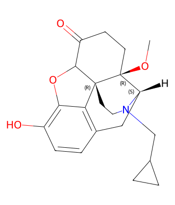 CO[C@]12CCC(=O)C3Oc4c(O)ccc5c4[C@]31CCN(CC1CC1)[C@H]2C5